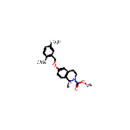 COc1ccc(C(=O)O)cc1COc1ccc2c(c1)CCN(C(=O)OC(C)(C)C)[C@H]2C(C)C